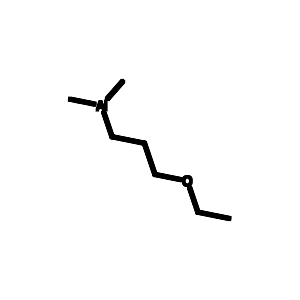 CCOCC[CH2][Al]([CH3])[CH3]